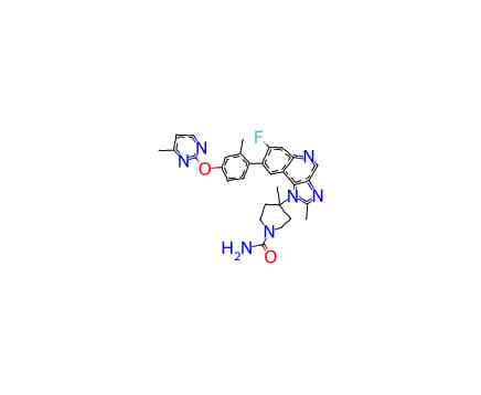 Cc1ccnc(Oc2ccc(-c3cc4c(cc3F)ncc3nc(C)n(C5(C)CCN(C(N)=O)CC5)c34)c(C)c2)n1